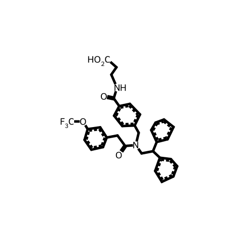 O=C(O)CCNC(=O)c1ccc(CN(CC(c2ccccc2)c2ccccc2)C(=O)Cc2cccc(OC(F)(F)F)c2)cc1